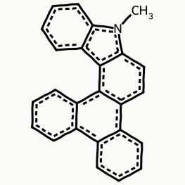 Cn1c2ccccc2c2c3c4ccccc4c4ccccc4c3ccc21